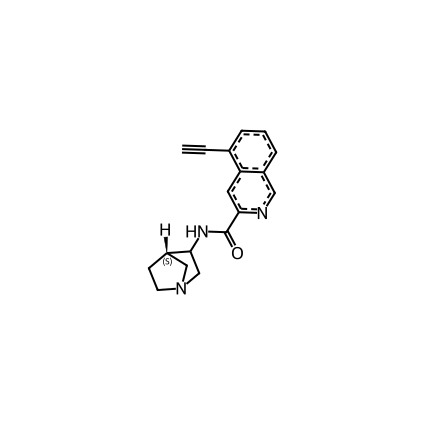 C#Cc1cccc2cnc(C(=O)NC3CN4CC[C@H]3C4)cc12